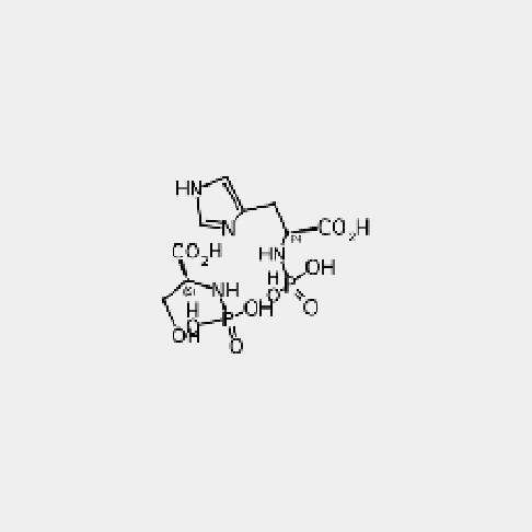 O=C(O)[C@H](CO)NP(=O)(O)O.O=C(O)[C@H](Cc1c[nH]cn1)NP(=O)(O)O